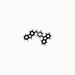 c1ccc2c(c1)Cc1cc(CN3CCN(C4c5ccccc5-c5ccccc54)CC3)ccc1-2